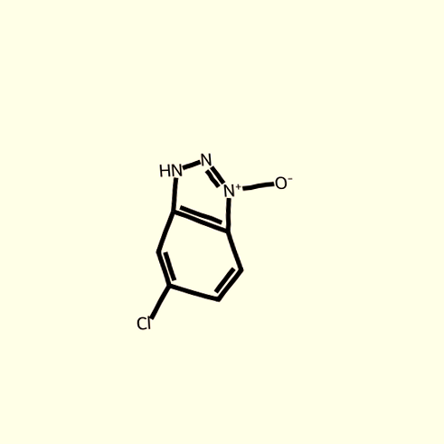 [O-][n+]1n[nH]c2cc(Cl)ccc21